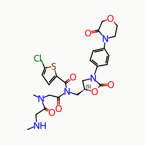 CNCC(=O)N(C)CC(=O)N(C[C@H]1CN(c2ccc(N3CCOCC3=O)cc2)C(=O)O1)C(=O)c1ccc(Cl)s1